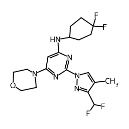 Cc1cn(-c2nc(NC3CCC(F)(F)CC3)cc(N3CCOCC3)n2)nc1C(F)F